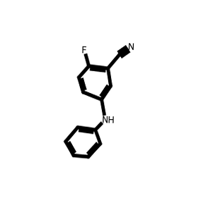 N#Cc1cc(Nc2ccccc2)ccc1F